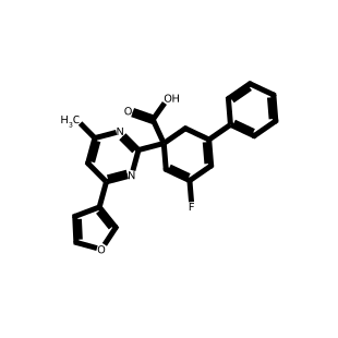 Cc1cc(-c2ccoc2)nc(C2(C(=O)O)C=C(F)C=C(c3ccccc3)C2)n1